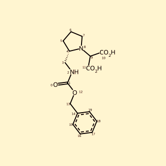 O=C(NC[C@@H]1CCCN1C(C(=O)O)C(=O)O)OCc1ccccc1